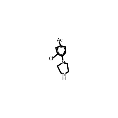 CC(=O)c1ccc(N2CCNCC2)c(Cl)c1